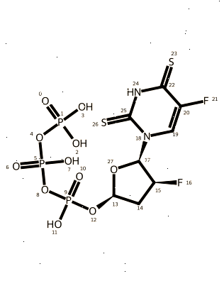 O=P(O)(O)OP(=O)(O)OP(=O)(O)O[C@@H]1C[C@H](F)[C@H](n2cc(F)c(=S)[nH]c2=S)O1